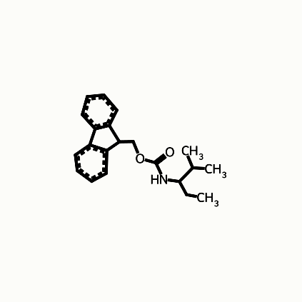 CCC(NC(=O)OCC1c2ccccc2-c2ccccc21)C(C)C